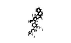 COCCC(=O)N1CCN(c2nc(C3CC3)c(Nc3ccnc4ccccc34)cc2C#N)C[C@H]1C